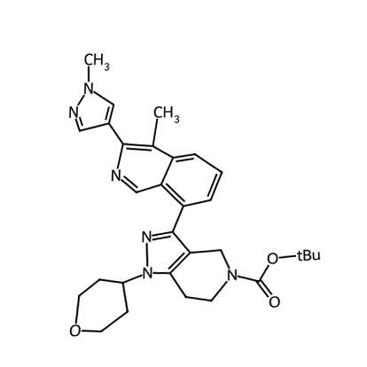 Cc1c(-c2cnn(C)c2)ncc2c(-c3nn(C4CCOCC4)c4c3CN(C(=O)OC(C)(C)C)CC4)cccc12